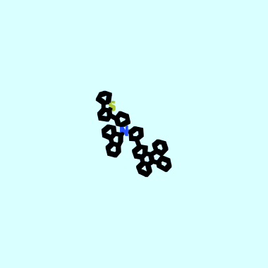 c1ccc(-c2c(-c3ccccc3)c3cc(-c4cccc(N(c5cccc(-c6cccc7c6sc6ccccc67)c5)c5cc6ccccc6c6ccccc56)c4)ccc3c3ccccc23)cc1